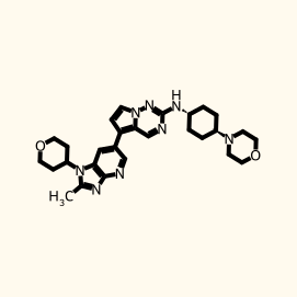 Cc1nc2ncc(-c3ccn4nc(N[C@H]5CC[C@H](N6CCOCC6)CC5)ncc34)cc2n1C1CCOCC1